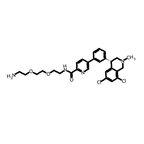 CN1Cc2c(Cl)cc(Cl)cc2[C@H](c2cccc(-c3ccc(C(=O)NCCOCCOCCN)nc3)c2)C1